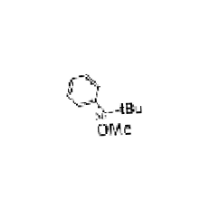 CO[C@H](c1ccccc1)C(C)(C)C